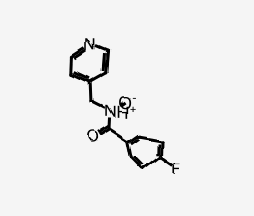 O=C(c1ccc(F)cc1)[NH+]([O-])Cc1ccncc1